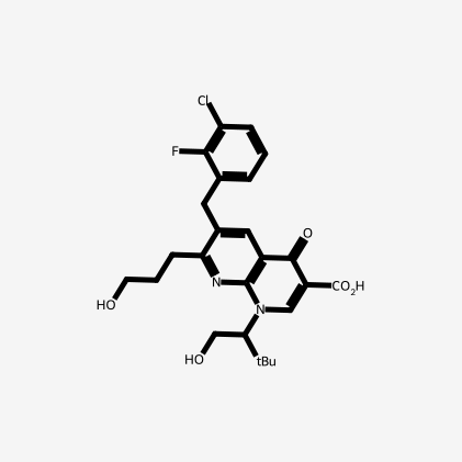 CC(C)(C)C(CO)n1cc(C(=O)O)c(=O)c2cc(Cc3cccc(Cl)c3F)c(CCCO)nc21